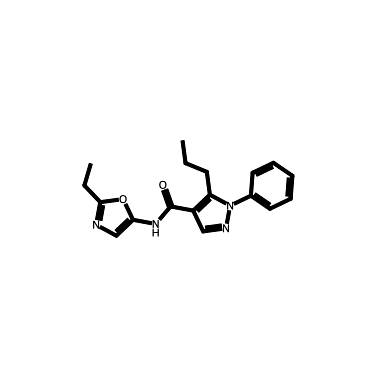 CCCc1c(C(=O)Nc2cnc(CC)o2)cnn1-c1ccccc1